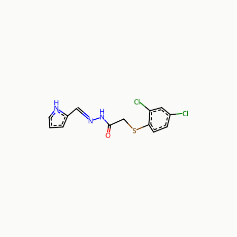 O=C(CSc1ccc(Cl)cc1Cl)N/N=C/c1ccc[nH]1